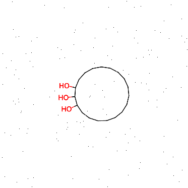 OC1CCCCCCCCCCCCCCCCC(O)C1O